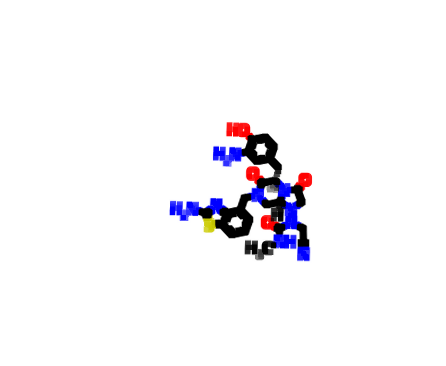 CNC(=O)N(CC#N)N1CC(=O)N2[C@@H](Cc3ccc(O)c(N)c3)C(=O)N(Cc3cccc4sc(N)nc34)C[C@@H]21